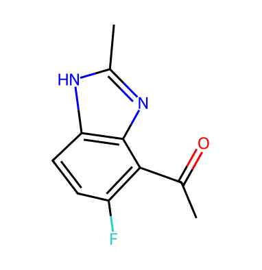 CC(=O)c1c(F)ccc2[nH]c(C)nc12